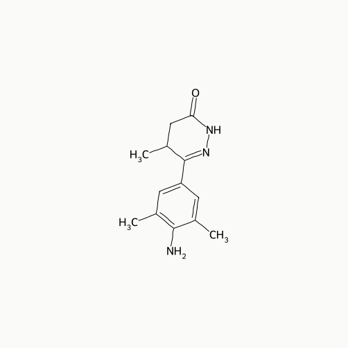 Cc1cc(C2=NNC(=O)CC2C)cc(C)c1N